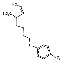 CCOC(=O)C(/C=N\O)CCCCOc1ccc([N+](=O)[O-])cc1